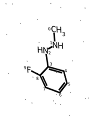 CNNc1ccccc1F